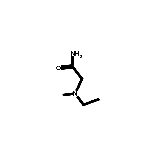 CCN(C)[CH]C(N)=O